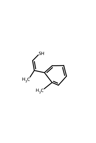 C/C(=C/S)c1ccccc1C